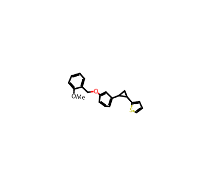 COc1ccccc1COc1cccc(C2CC2c2cccs2)c1